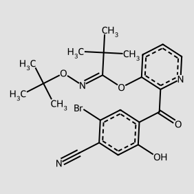 CC(C)(C)ON=C(Oc1cccnc1C(=O)c1cc(Br)c(C#N)cc1O)C(C)(C)C